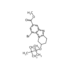 COC(=O)c1cc(Br)c2c(c1)nc1n2CC(O[Si](C)(C)C(C)(C)C)CC1